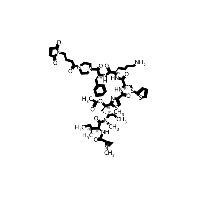 CC[C@H](C)[C@H](NC(=O)C1CN1C)C(=O)N(C)[C@H](C[C@@H](OC(C)=O)c1nc(C(=O)N[C@@H](CSc2cccs2)C(=O)N[C@H](CCCCN)C(=O)N[C@@H](Cc2ccccc2)C(=O)N2CCN(C(=O)CCCN3C(=O)C=CC3=O)CC2)cs1)C(C)C